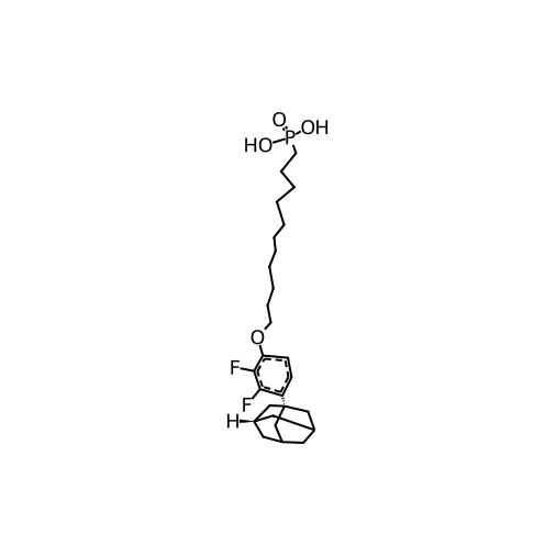 O=P(O)(O)CCCCCCCCCCCOc1ccc([C@]23CC4CC(C[C@H](C4)C2)C3)c(F)c1F